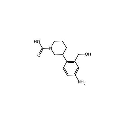 Nc1ccc(C2CCCN(C(=O)O)C2)c(CO)c1